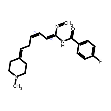 C=N/C(=C\C=C/CC=C1CCN(C)CC1)NC(=O)c1ccc(F)cc1